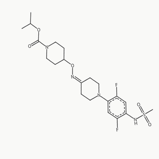 CC(C)OC(=O)N1CCC(ON=C2CCN(c3cc(F)c(NS(C)(=O)=O)cc3F)CC2)CC1